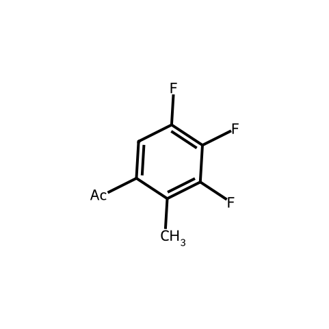 CC(=O)c1cc(F)c(F)c(F)c1C